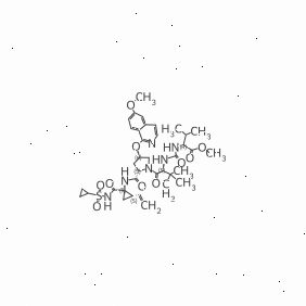 C=C[C@@H]1C[C@]1(NC(=O)[C@@H]1C[C@@H](Oc2nccc3cc(OC)ccc23)CN1C(=O)[C@@H](NC(=O)N[C@@H](C(=O)OC)C(C)C)C(C)(C)C)C(=O)NS(=O)(=O)C1CC1